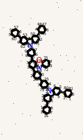 c1ccc(-c2ccc3c(c2)c2cc(-c4ccccc4)ccc2n3-c2ccc(-c3ccc4c5ccc(-c6ccc(-n7c8ccc(-c9ccccc9)cc8c8cc(-c9ccccc9)ccc87)cc6)c6c5n(c4c3)-c3ccccc3O6)cc2)cc1